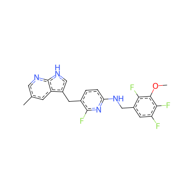 COc1c(F)c(F)cc(CNc2ccc(Cc3c[nH]c4ncc(C)cc34)c(F)n2)c1F